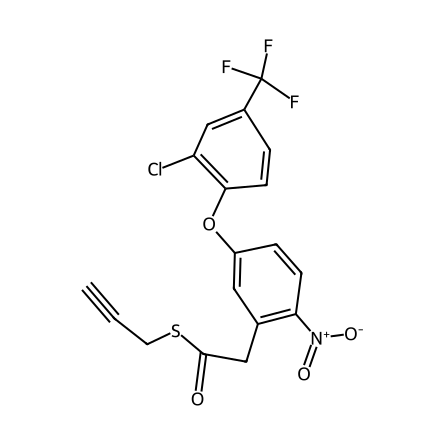 C#CCSC(=O)Cc1cc(Oc2ccc(C(F)(F)F)cc2Cl)ccc1[N+](=O)[O-]